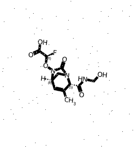 CC1=C[C@@H]2CN(C(=O)N2O[C@H](F)C(=O)O)[C@@H]1C(=O)NCO